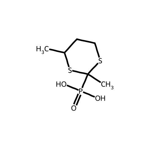 CC1CCSC(C)(P(=O)(O)O)S1